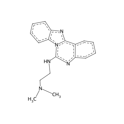 CN(C)CCNc1nc2ccccc2c2nc3ccccc3n12